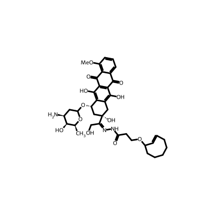 COc1cccc2c1C(=O)c1c(O)c3c(c(O)c1C2=O)C[C@@](O)(/C(CO)=N\NC(=O)CCOC1/C=C/CCCCC1)C[C@@H]3OC1C[C@H](N)[C@H](O)[C@H](C)O1